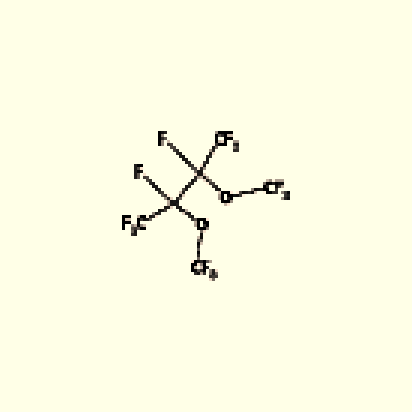 FC(F)(F)OC(F)(C(F)(F)F)C(F)(OC(F)(F)F)C(F)(F)F